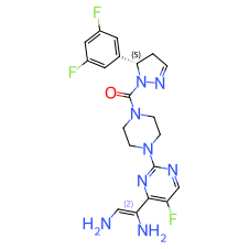 N/C=C(\N)c1nc(N2CCN(C(=O)N3N=CC[C@H]3c3cc(F)cc(F)c3)CC2)ncc1F